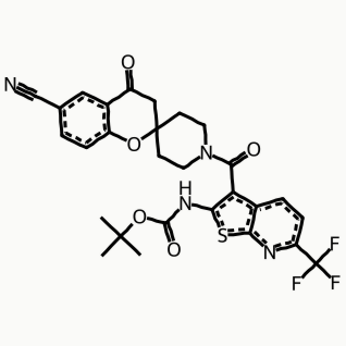 CC(C)(C)OC(=O)Nc1sc2nc(C(F)(F)F)ccc2c1C(=O)N1CCC2(CC1)CC(=O)c1cc(C#N)ccc1O2